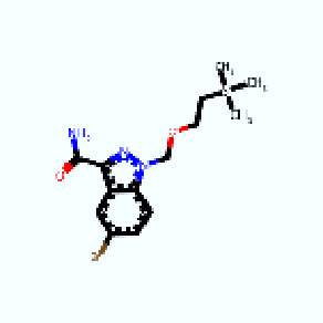 C[Si](C)(C)CCOCn1nc(C(N)=O)c2cc(Br)ccc21